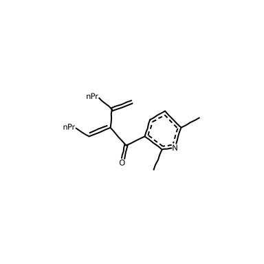 C=C(CCC)/C(=C\CCC)C(=O)c1ccc(C)nc1C